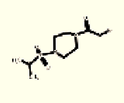 CC(C)S(=O)(=O)N1CCN(C(=O)CBr)CC1